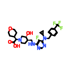 O=C(O)[C@@H](C1CCOCC1)N1CC[C@H](CNc2ncnc(N(Cc3ccc(C(F)(F)F)cc3)C3CC3)c2F)[C@@H](O)C1